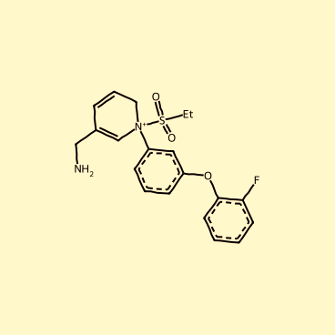 CCS(=O)(=O)[N+]1(c2cccc(Oc3ccccc3F)c2)C=C(CN)C=CC1